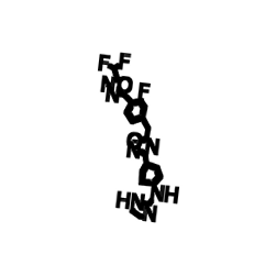 Fc1cc(Cc2nc(-c3ccc(NC4=NCCN4)cc3)no2)ccc1-c1nnc(C(F)F)o1